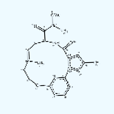 CON(C)C(=O)[C@@H]1C/C=C(\C)CCOc2cccc(c2)-n2nc(C)cc2C(=O)N1